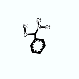 CCO[C](c1ccccc1)N(CC)CC